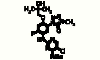 CNc1nc(Nc2cc(-n3nnn(C)c3=O)c(OCC(C)(C)O)cc2F)ncc1Cl